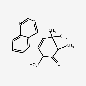 CC1C(=O)C(S(=O)(=O)O)C=CC1(C)C.c1ccc2ncncc2c1